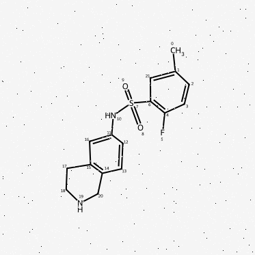 Cc1ccc(F)c(S(=O)(=O)Nc2ccc3c(c2)CCNC3)c1